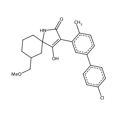 COCC1CCCC2(C1)NC(=O)C(c1cc(-c3ccc(Cl)cc3)ccc1C)=C2O